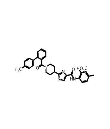 Cc1ccc(NC(=O)c2csc(C3CCN(C(=O)c4ccccc4-c4ccc(C(F)(F)F)cc4)CC3)n2)c(C(=O)O)c1